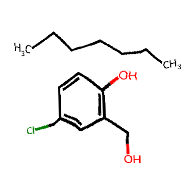 CCCCCCC.OCc1cc(Cl)ccc1O